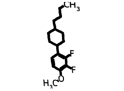 CCCCC1CCC(c2ccc(OC)c(F)c2F)CC1